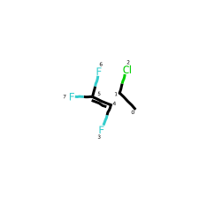 CCCl.FC=C(F)F